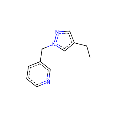 CCc1cnn(Cc2cccnc2)c1